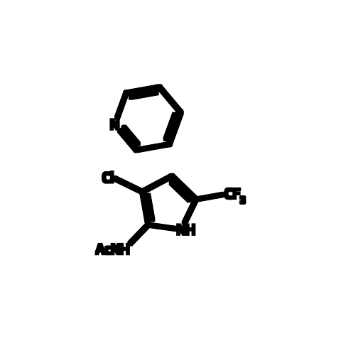 CC(=O)Nc1[nH]c(C(F)(F)F)cc1Cl.c1ccncc1